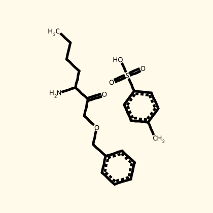 CCCCC(N)C(=O)COCc1ccccc1.Cc1ccc(S(=O)(=O)O)cc1